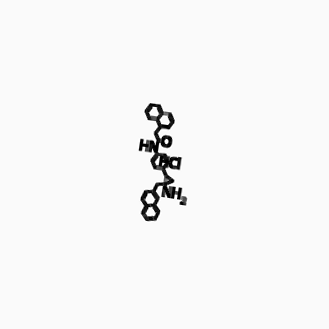 Cl.NC1(Cc2ccc3ccccc3c2)CC1c1ccc(NC(=O)Cc2cccc3ccccc23)cc1